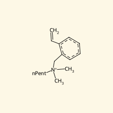 C=Cc1ccccc1C[N+](C)(C)CCCCC